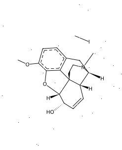 CI.COc1ccc2c3c1O[C@H]1[C@@H](O)C=C[C@H]4[C@@H](C2)N(C)CC[C@@]341